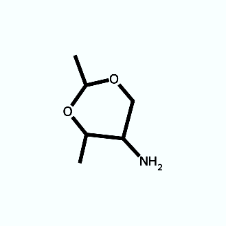 CC1OCC(N)C(C)O1